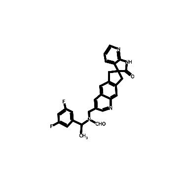 CC(c1cc(F)cc(F)c1)N(C=O)Cc1cnc2cc3c(cc2c1)CC1(C3)C(=O)Nc2ncccc21